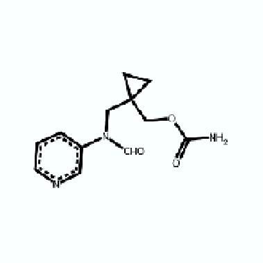 NC(=O)OCC1(CN(C=O)c2cccnc2)CC1